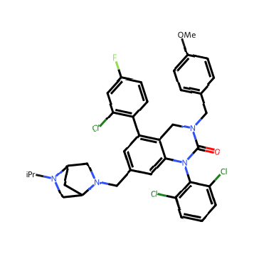 COc1ccc(CN2Cc3c(-c4ccc(F)cc4Cl)cc(CN4CC5CC4CN5C(C)C)cc3N(c3c(Cl)cccc3Cl)C2=O)cc1